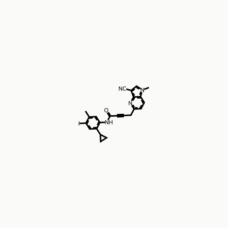 Cc1cc(NC(=O)C#CCc2ccc3c(n2)c(C#N)cn3C)c(C2CC2)cc1I